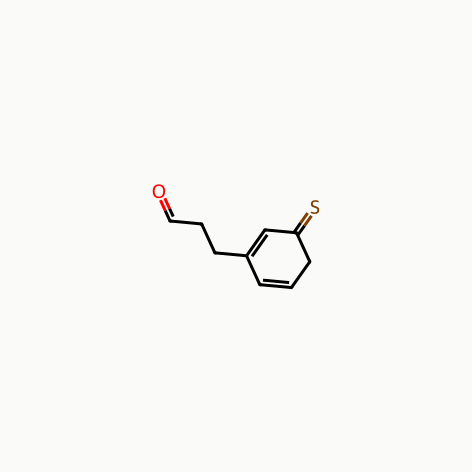 O=CCCC1=CC(=S)CC=C1